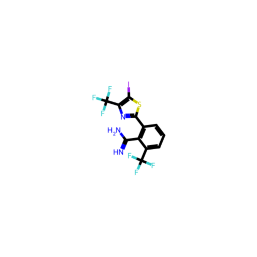 N=C(N)c1c(-c2nc(C(F)(F)F)c(I)s2)cccc1C(F)(F)F